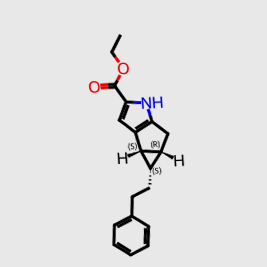 CCOC(=O)c1cc2c([nH]1)C[C@@H]1[C@H](CCc3ccccc3)[C@H]21